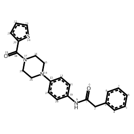 O=C(Cc1ccccc1)Nc1ccc(N2CCN(C(=O)c3cccs3)CC2)cc1